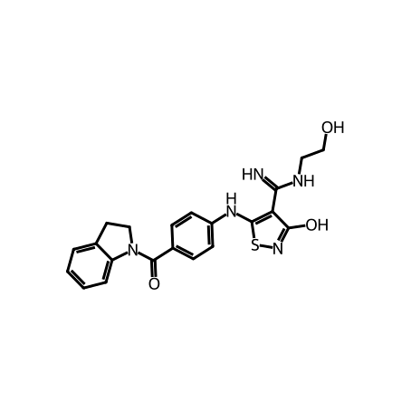 N=C(NCCO)c1c(O)nsc1Nc1ccc(C(=O)N2CCc3ccccc32)cc1